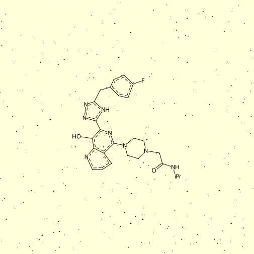 CC(C)NC(=O)CN1CCN(c2nc(-c3nnc(Cc4ccc(F)cc4)[nH]3)c(O)c3ncccc23)CC1